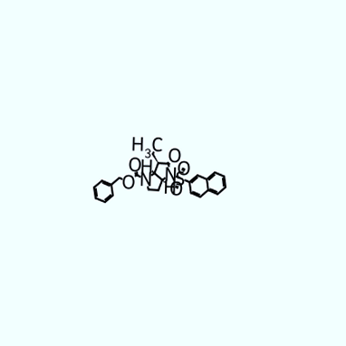 CC[C@H]1C(=O)N(S(=O)(=O)c2ccc3ccccc3c2)[C@H]2CCN(C(=O)OCc3ccccc3)[C@H]12